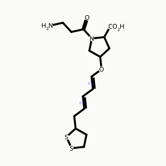 NCCC(=O)N1CC(O/C=C/C=C/CC2CCSS2)CC1C(=O)O